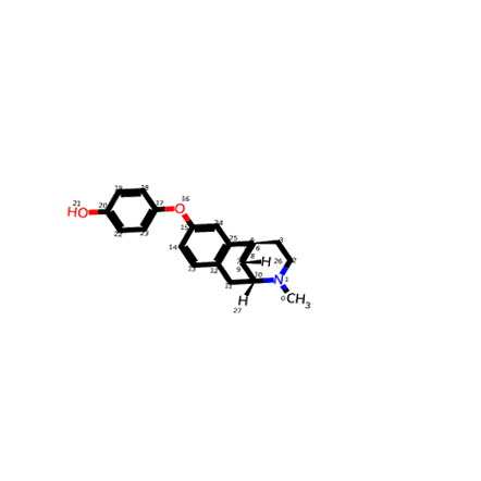 CN1CC[C@]23CCCC[C@H]2[C@H]1Cc1ccc(Oc2ccc(O)cc2)cc13